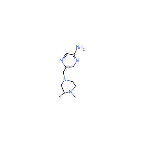 CC1CN(Cc2cnc(N)cn2)CCN1C